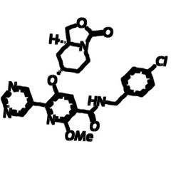 COc1nc(-c2cncnc2)c(O[C@H]2CCN3C(=O)OC[C@@H]3C2)cc1C(=O)NCc1ccc(Cl)cc1